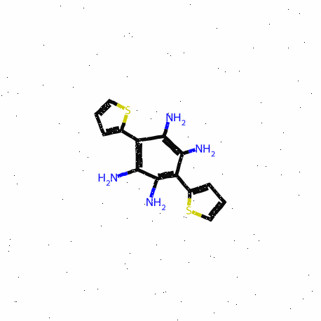 Nc1c(N)c(-c2cccs2)c(N)c(N)c1-c1cccs1